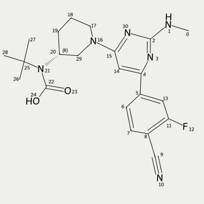 CNc1nc(-c2ccc(C#N)c(F)c2)cc(N2CCC[C@@H](N(C(=O)O)C(C)(C)C)C2)n1